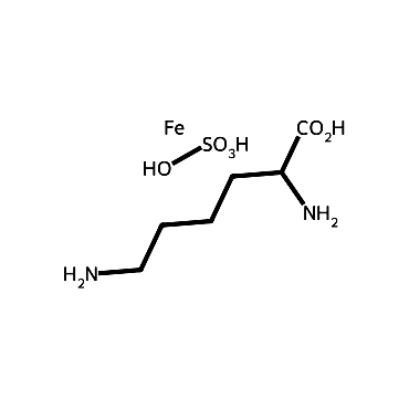 NCCCCC(N)C(=O)O.O=S(=O)(O)O.[Fe]